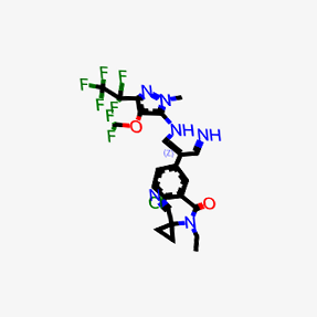 CCN(C(=O)c1cc(/C(C=N)=C/Nc2c(OC(F)F)c(C(F)(F)C(F)(F)F)nn2C)ccc1Cl)C1(C#N)CC1